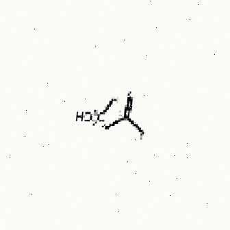 C=C(C)C.CC(=O)O